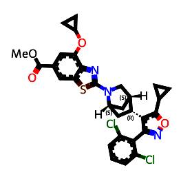 COC(=O)c1cc(OC2CC2)c2nc(N3C[C@H]4C[C@@H]3C[C@H]4c3c(-c4c(Cl)cccc4Cl)noc3C3CC3)sc2c1